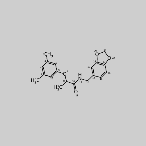 Cc1cc(C)cc(OC(C)C(=O)NCc2ccc3c(c2)OCO3)c1